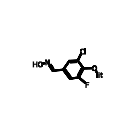 CCOc1c(F)cc(C=NO)cc1Cl